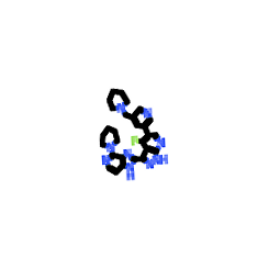 Fc1c(-c2cncc(CN3CCCCC3)c2)cnc2[nH]nc(-c3nc4c(N5CCCCC5)nccc4[nH]3)c12